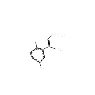 CCOC(=O)C=C(C#N)c1cc([N+](=O)[O-])ccc1Cl